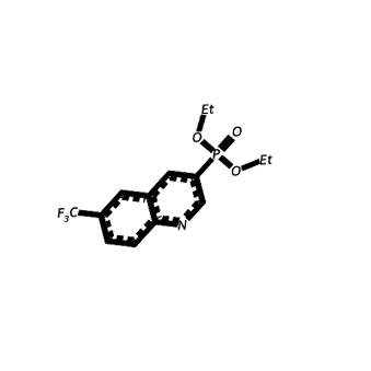 CCOP(=O)(OCC)c1cnc2ccc(C(F)(F)F)cc2c1